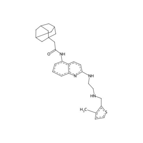 Cc1ccsc1CNCCNc1ccc2c(NC(=O)CC34CC5CC(CC(C5)C3)C4)cccc2n1